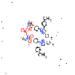 CC(=O)N(COC(=O)OCN(C(C)=O)S(=O)(=O)c1ccc(-n2nc(C(F)(F)F)cc2-c2cccc(C)c2)cc1)S(=O)(=O)c1ccc(-n2nc(C(F)(F)F)cc2-c2ccc(C)cc2)cc1